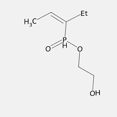 CC=C(CC)[PH](=O)OCCO